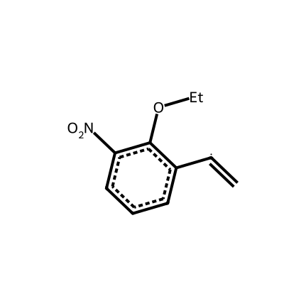 C=[C]c1cccc([N+](=O)[O-])c1OCC